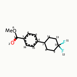 COC(=O)c1ccc(C2CCC(F)(F)CC2)cc1